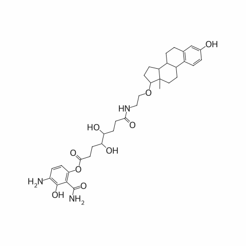 CC12CCC3c4ccc(O)cc4CCC3C1CCC2OCCNC(=O)CCC(O)C(O)CCC(=O)Oc1ccc(N)c(O)c1C(N)=O